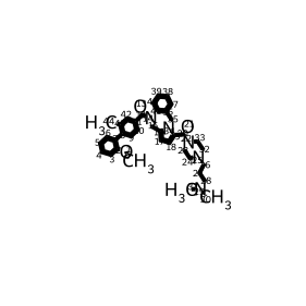 COc1ccccc1-c1ccc(C(=O)N2Cc3ccc(C(=O)N4CCN(CCCN(C)C)CC4)n3Cc3ccccc32)cc1C